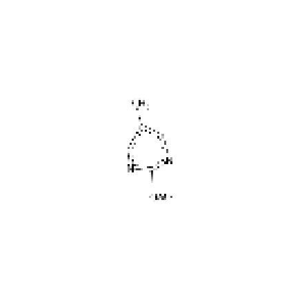 [CH2]c1cnc(OC)nc1